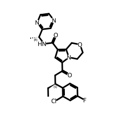 CC[C@@H](CC(=O)c1cc(C(=O)N[C@H](C)c2cnccn2)c2n1CCOC2)c1ccc(F)cc1Cl